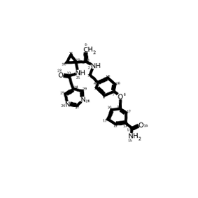 C=C(NCc1ccc(Oc2cccc(C(N)=O)c2)cc1)C1(NC(=O)c2cncnc2)CC1